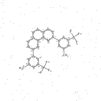 Cc1cc(-c2ccc3ccc4ccc(-c5cc(C)cc(C(F)(F)F)c5)nc4c3n2)cc(C(F)(F)F)c1